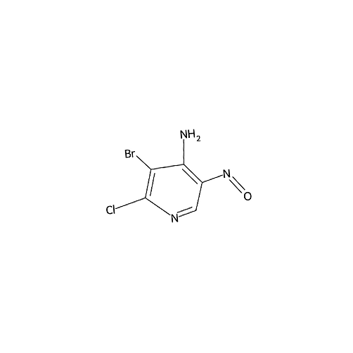 Nc1c(N=O)cnc(Cl)c1Br